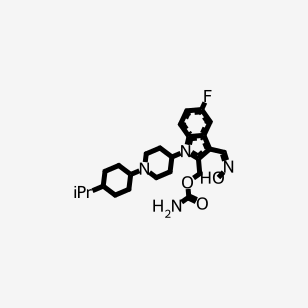 CC(C)C1CCC(N2CCC(n3c(COC(N)=O)c(/C=N\O)c4cc(F)ccc43)CC2)CC1